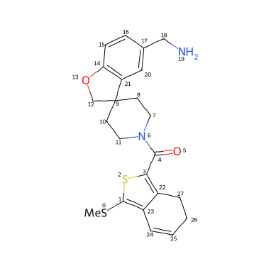 CSc1sc(C(=O)N2CCC3(CC2)COc2ccc(CN)cc23)c2c1C=CCC2